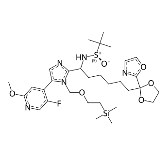 COc1cc(-c2cnc(C(CCCCCC3(c4ncco4)OCCO3)N[S@+]([O-])C(C)(C)C)n2COCC[Si](C)(C)C)c(F)cn1